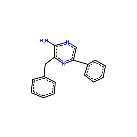 Nc1ncc(-c2ccccc2)nc1Cc1ccccc1